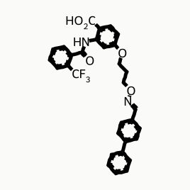 O=C(O)c1ccc(OCCCO/N=C/c2ccc(-c3ccccc3)cc2)cc1NC(=O)c1ccccc1C(F)(F)F